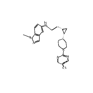 Cn1ncc2cc(NCC[C@@H]3C[C@@H]3C3CCN(c4ncc(Cl)cn4)CC3)ccc21